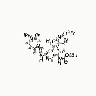 Cc1nc(OC(C)C)ncc1-c1cc2cc(Nc3cc4n(n3)CC(=O)N(C(C)C)CC4)ncc2c(NC(=O)OC(C)(C)C)c1F